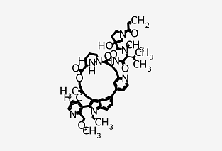 C=CC(=O)N1CCC(O)(C(=O)N(C)[C@H](C(=O)N[C@H]2Cc3cc(ccn3)-c3ccc4c(c3)c(c(-c3cccnc3COC)n4CC)CC(C)(C)COC(=O)[C@@H]3CCCN(N3)C2=O)C(C)C)C1